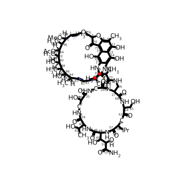 CO[C@H]1/C=C/O[C@@]2(C)Oc3c(C)c(O)c4c(O)c(c(NC(C)C(C)C(=O)NCC5NC(=O)CNC(=O)C(O)CNC(=O)C(C(C)O)NC(=O)C(C(O)C(O)C(N)=O)NC(=O)C(C(C)C)CC(=O)C(CO)NC5=O)c(O)c4c3C2=O)NC(=O)/C(C)=C\C=C\[C@H](C)[C@H](O)[C@@H](C)[C@@H](O)[C@@H](C)[C@H](OC(C)=O)C1C